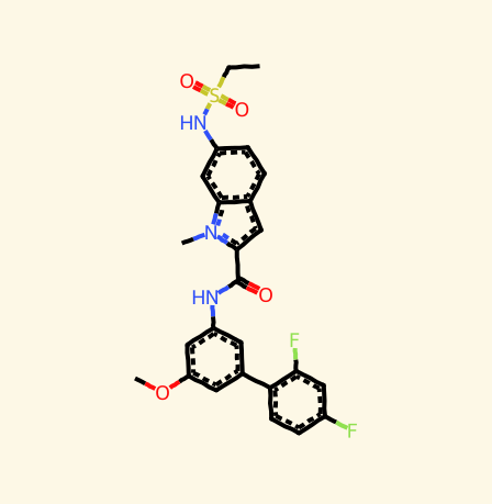 CCS(=O)(=O)Nc1ccc2cc(C(=O)Nc3cc(OC)cc(-c4ccc(F)cc4F)c3)n(C)c2c1